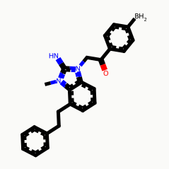 Bc1ccc(C(=O)Cn2c(=N)n(C)c3c(CCc4ccccc4)cccc32)cc1